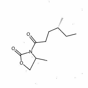 CC[C@@H](C)CCC(=O)N1C(=O)OCC1C